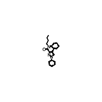 CCCCn1c(=O)c2nn(-c3ccccc3)cc2c2ccccc21